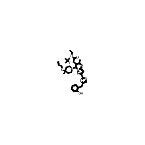 C=CCOC1(C)CCN(c2c([C@H](OC(C)(C)C)C(=O)OCC)c(C)nc3cc(-c4ncc(Cc5ccccc5O)s4)nn23)CC1